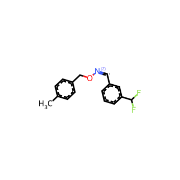 Cc1ccc(CO/N=[C]\c2cccc(C(F)F)c2)cc1